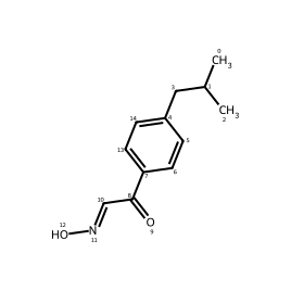 CC(C)Cc1ccc(C(=O)C=NO)cc1